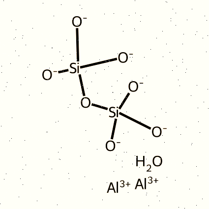 O.[Al+3].[Al+3].[O-][Si]([O-])([O-])O[Si]([O-])([O-])[O-]